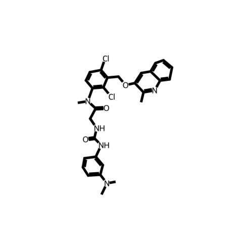 Cc1nc2ccccc2cc1OCc1c(Cl)ccc(N(C)C(=O)CNC(=O)Nc2cccc(N(C)C)c2)c1Cl